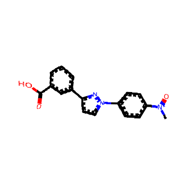 C[N+](=O)c1ccc(-n2ccc(-c3cccc(C(=O)O)c3)n2)cc1